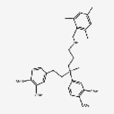 COc1ccc(CC[N+](C)(CCCNCc2c(C)cc(C)cc2C)c2ccc(OC)c(OC)c2)cc1OC